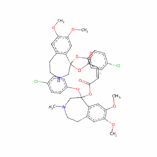 COc1cc2c(cc1OC)C(OC(=O)/C=C\C(=O)OC1(Oc3ccc(Cl)cc3)CN(C)CCc3cc(OC)c(OC)cc31)(Oc1ccc(Cl)cc1)CNCC2